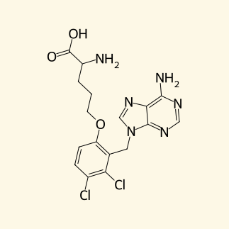 Nc1ncnc2c1ncn2Cc1c(OCCCC(N)C(=O)O)ccc(Cl)c1Cl